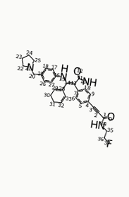 O=C(C#Cc1ccc2c(c1)NC(=O)/C2=C(\Nc1ccc(CN2CCCC2)cc1)C1=CCCC=C1)NCCF